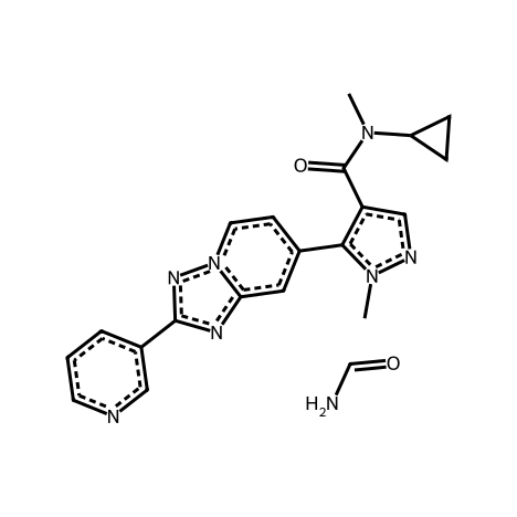 CN(C(=O)c1cnn(C)c1-c1ccn2nc(-c3cccnc3)nc2c1)C1CC1.NC=O